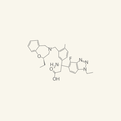 CC[C@@H]1CN(Cc2cc([C@](N)(CC(=O)O)c3ccc4c(nnn4CC)c3F)ccc2C)Cc2ccccc2O1